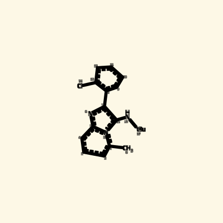 Cc1cccc2nc(-c3ccccc3Cl)c(NC(C)(C)C)n12